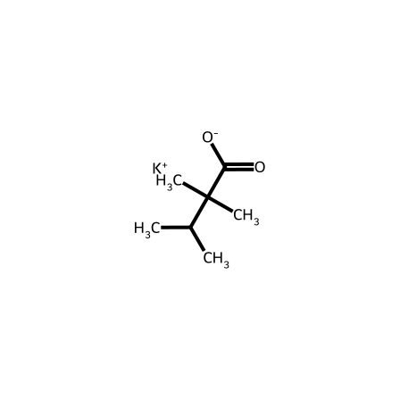 CC(C)C(C)(C)C(=O)[O-].[K+]